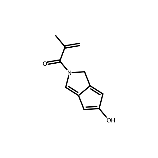 C=C(C)C(=O)N1C=C2C=C(O)C=C2C1